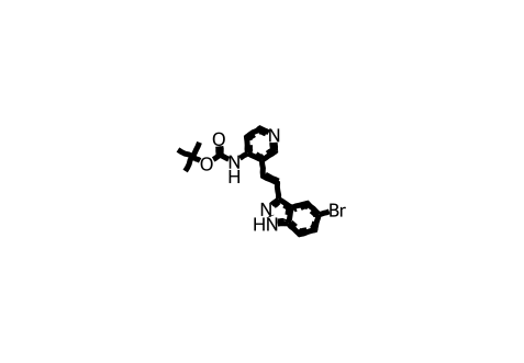 CC(C)(C)OC(=O)Nc1ccncc1C=Cc1n[nH]c2ccc(Br)cc12